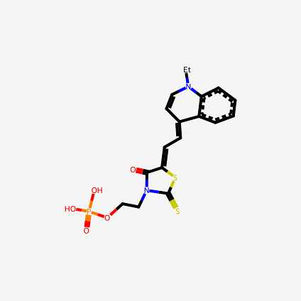 CCN1C=CC(=CC=C2SC(=S)N(CCOP(=O)(O)O)C2=O)c2ccccc21